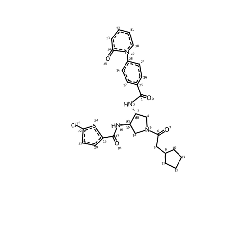 O=C(N[C@@H]1CN(C(=O)CC2CCCC2)C[C@H]1NC(=O)c1ccc(Cl)s1)c1ccc(-n2ccccc2=O)cc1